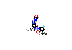 COC(=O)c1ccc(F)cc1NC(=O)c1c(OC)ccc2nc(N3C4COCC3C4)sc12